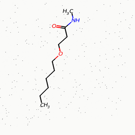 CCCCCCOCCC(=O)NC